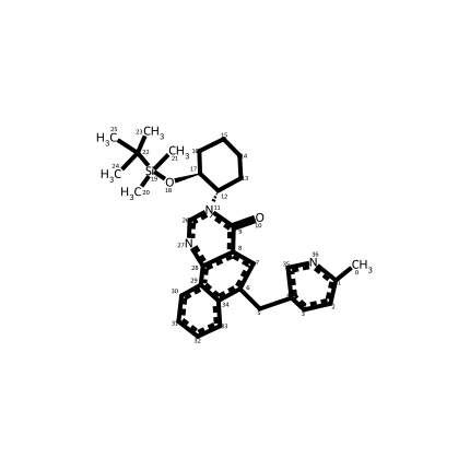 Cc1ccc(Cc2cc3c(=O)n([C@H]4CCCC[C@@H]4O[Si](C)(C)C(C)(C)C)cnc3c3ccccc23)cn1